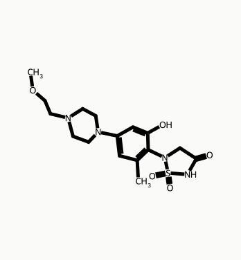 COCCN1CCN(c2cc(C)c(N3CC(=O)NS3(=O)=O)c(O)c2)CC1